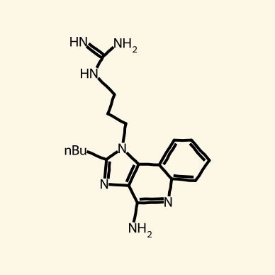 CCCCc1nc2c(N)nc3ccccc3c2n1CCCNC(=N)N